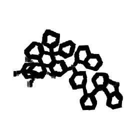 c1ccc(C2(c3ccccc3)c3ccccc3C3(c4ccc(N(c5ccc(-c6ccccc6-c6cccc7oc8ccccc8c67)cc5)c5cccc6ccccc56)cc42)[C@H]2C[C@@H]4C[C@@H](C[C@@H]3C4)C2)cc1